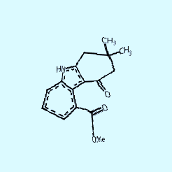 COC(=O)c1cccc2[nH]c3c(c12)C(=O)CC(C)(C)C3